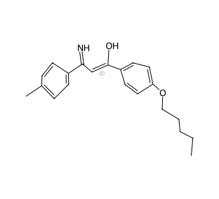 CCCCCOc1ccc(/C(O)=C/C(=N)c2ccc(C)cc2)cc1